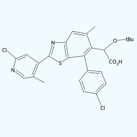 Cc1cnc(Cl)cc1-c1nc2cc(C)c(C(OC(C)(C)C)C(=O)O)c(-c3ccc(Cl)cc3)c2s1